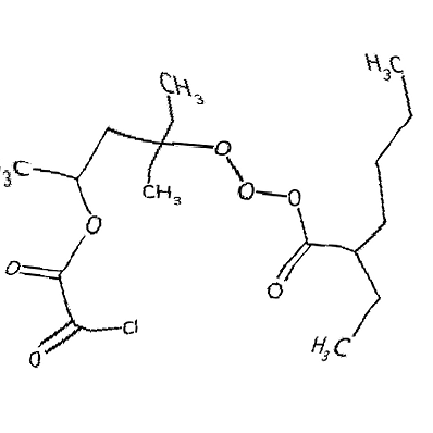 CCCCC(CC)C(=O)OOOC(C)(C)CC(C)OC(=O)C(=O)Cl